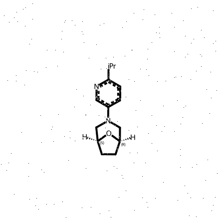 CC(C)c1ccc(N2C[C@H]3CC[C@@H](C2)O3)cn1